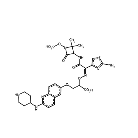 CC1(C)C(NC(=O)/C(=N\OC(COc2ccc3nc(NC4CCNCC4)ccc3c2)C(=O)O)c2csc(N)n2)C(=O)N1OS(=O)(=O)O